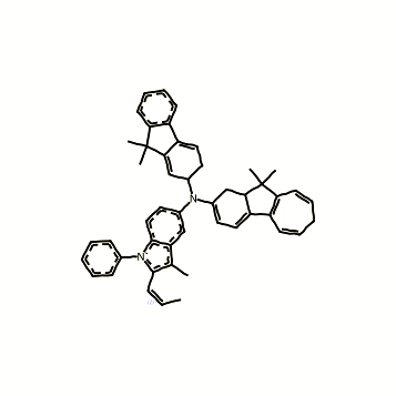 C/C=C\c1c(C)c2cc(N(C3=CC=C4C5=C(C=CCC=C5)C(C)(C)C4C3)C3C=C4C(=CC3)c3ccccc3C4(C)C)ccc2n1-c1ccccc1